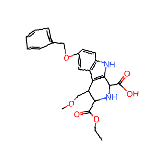 CCOC(=O)C1NC(C(=O)O)c2[nH]c3ccc(OCc4ccccc4)cc3c2C1COC